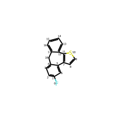 Fc1ccc2c(c1)-c1ccsc1-c1ccccc1C2